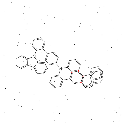 c1cc(-c2cccc3ccccc23)cc(N(c2ccc(-c3ccccc3-n3c4ccccc4c4ccccc43)cc2)c2ccccc2-c2ccc3c(c2)sc2ccccc23)c1